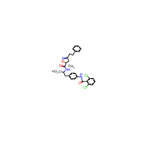 C[C@@]1(C(=O)NC(Cc2ccc(NC(=O)c3c(Cl)cccc3Cl)cc2)C(=O)O)CC(CCc2ccccc2)=NO1